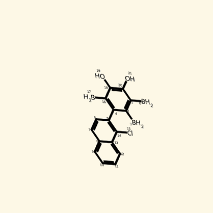 Bc1c(B)c(-c2ccc3ccccc3c2Cl)c(B)c(O)c1O